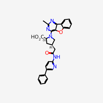 Cc1nc(N2C[C@@H](CC(=O)Nc3ccc(-c4ccccc4)cn3)C[C@H]2C(=O)O)c2oc3ccccc3c2n1